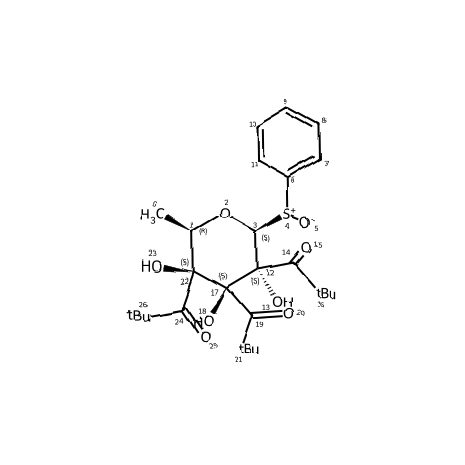 C[C@H]1O[C@@H]([S+]([O-])c2ccccc2)[C@@](O)(C(=O)C(C)(C)C)[C@](O)(C(=O)C(C)(C)C)[C@]1(O)C(=O)C(C)(C)C